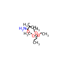 C=C(C)C(N)=O.CCC[Si](OCC)(OCC)OCC